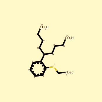 CCCCCCCCCCCSc1ccccc1C(CCCC(=O)O)CCCC(=O)O